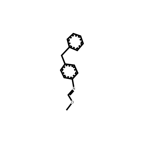 COC=Nc1ccc(Cc2ccccc2)cc1